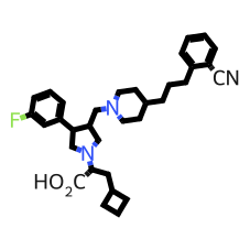 N#Cc1ccccc1CCCC1CCN(CC2CN(C(CC3CCC3)C(=O)O)CC2c2cccc(F)c2)CC1